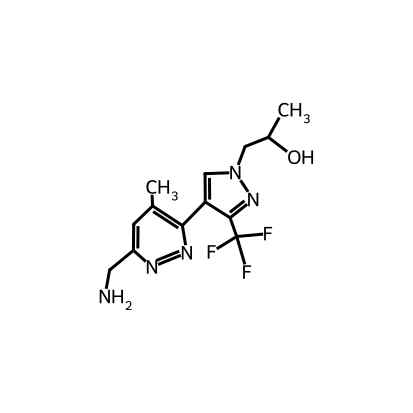 Cc1cc(CN)nnc1-c1cn(CC(C)O)nc1C(F)(F)F